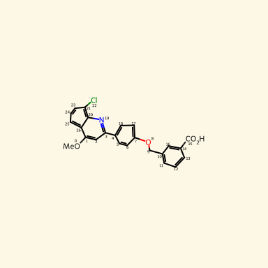 COc1cc(-c2ccc(OCc3cccc(C(=O)O)c3)cc2)nc2c(Cl)cccc12